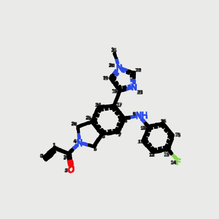 C=CC(=O)N1Cc2cc(Nc3ccc(F)cc3)c(-c3cn(C)cn3)cc2C1